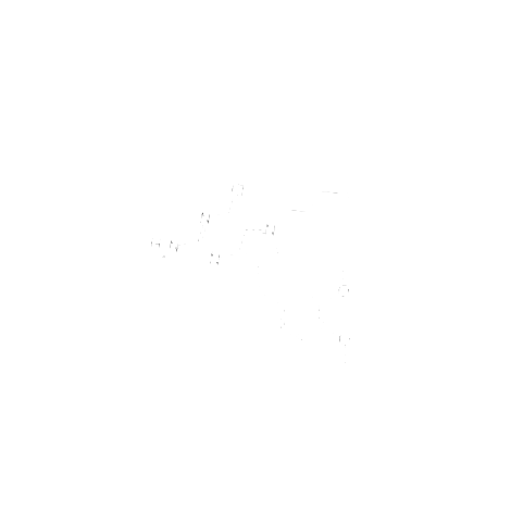 COc1ccc(Cc2cn(CCCC(C)C)c3c(Cl)nc(N)nc23)cc1OC